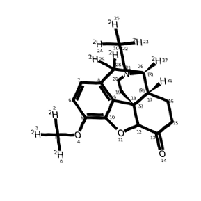 [2H]C([2H])([2H])Oc1ccc2c3c1OC1C(=O)CC[C@@H]4[C@@]31CCN(C([2H])([2H])[2H])[C@]4([2H])C2([2H])[2H]